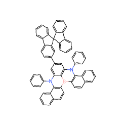 c1ccc(N2c3cc(-c4ccc5c(c4)C4(c6ccccc6-c6ccccc64)c4ccccc4-5)cc4c3B(c3ccc5ccccc5c32)c2ccc3ccccc3c2N4c2ccccc2)cc1